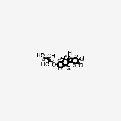 CC1(C)c2cc(OCC(O)C(O)CO)ccc2C(=O)c2c1[nH]c1cc(Cl)c(Cl)cc21